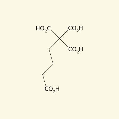 O=C(O)CCCC(C(=O)O)(C(=O)O)C(=O)O